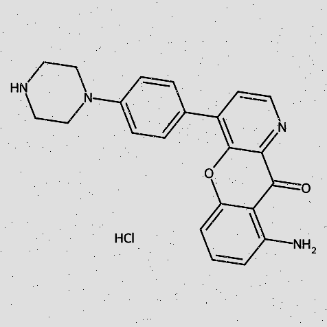 Cl.Nc1cccc2oc3c(-c4ccc(N5CCNCC5)cc4)ccnc3c(=O)c12